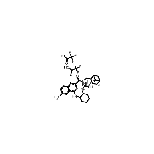 Cc1ccc2nc(C(=O)NCC3CCC4CC3C4(C)C)nc(NC3CCCCC3NC(=N)N)c2c1.O=C(O)C(F)(F)F.O=C(O)C(F)(F)F